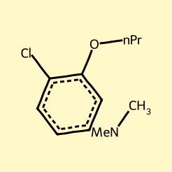 CCCOc1ccccc1Cl.CNC